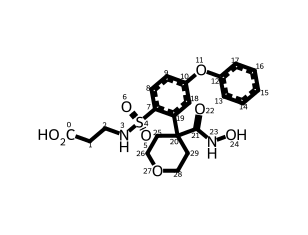 O=C(O)CCNS(=O)(=O)c1ccc(Oc2ccccc2)cc1C1(C(=O)NO)CCOCC1